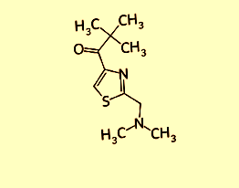 CN(C)Cc1nc(C(=O)C(C)(C)C)cs1